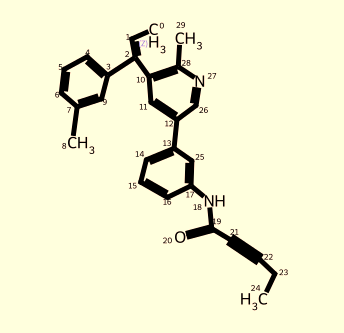 C/C=C(/c1cccc(C)c1)c1cc(-c2cccc(NC(=O)C#CCC)c2)cnc1C